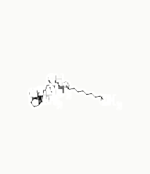 CCCCCCCCCOC(=O)C[N+](C)(C)CCOC1CC2CC[C@]1(C)C2(C)C